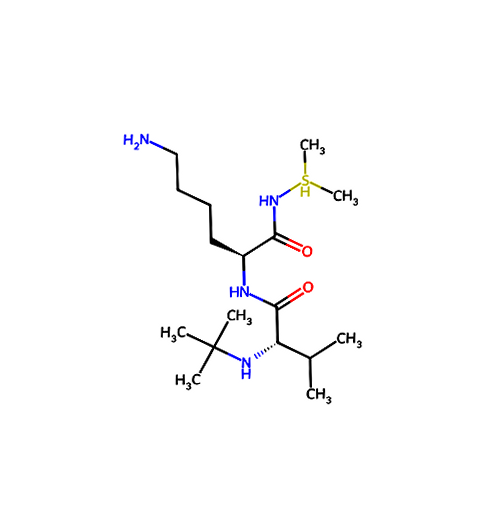 CC(C)[C@H](NC(C)(C)C)C(=O)N[C@@H](CCCCN)C(=O)N[SH](C)C